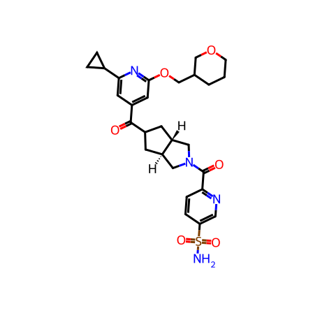 NS(=O)(=O)c1ccc(C(=O)N2C[C@H]3CC(C(=O)c4cc(OCC5CCCOC5)nc(C5CC5)c4)C[C@@H]3C2)nc1